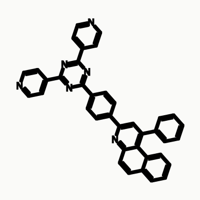 c1ccc(-c2cc(-c3ccc(-c4nc(-c5ccncc5)nc(-c5ccncc5)n4)cc3)nc3ccc4ccccc4c23)cc1